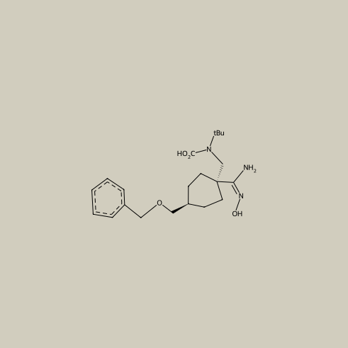 CC(C)(C)N(C[C@]1(/C(N)=N\O)CC[C@@H](COCc2ccccc2)CC1)C(=O)O